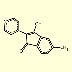 Cc1ccc2c(c1)C(O)=C(c1ccncc1)C2=O